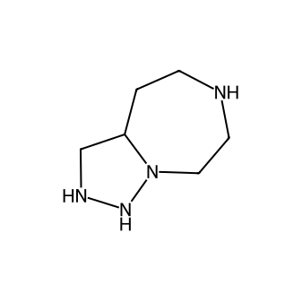 C1CC2CNNN2CCN1